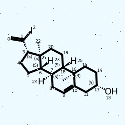 C=C(I)[C@H]1CC[C@H]2[C@@H]3CC=C4C[C@@H](O)CC[C@]4(C)[C@H]3CC[C@]12C